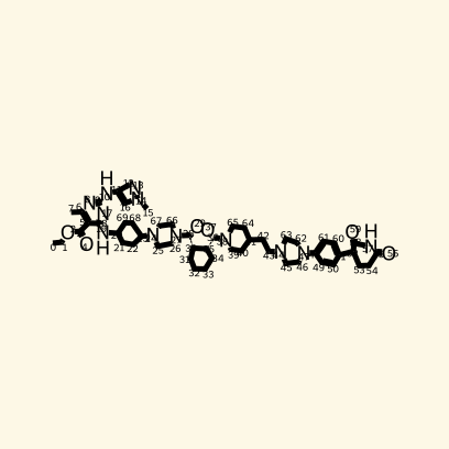 CCOC(=O)c1c(C)nc(Nc2cnn(C)c2)nc1NC1CCC(N2CCN(C(=O)[C@H]3CCCC[C@H]3C(=O)N3CCC(CCN4CCN(c5ccc(C6CCC(=O)NC6=O)cc5)CC4)CC3)CC2)CC1